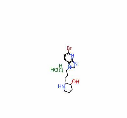 Cl.Cl.O[C@H]1CCCN[C@@H]1CCCn1cnc2nc(Br)ccc21